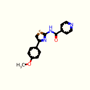 COc1ccc(-c2csc(NC(=O)c3ccncc3)n2)cc1